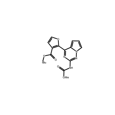 COC(=O)Nc1nc(-c2occc2C(=O)OC(C)(C)C)c2cccn2n1